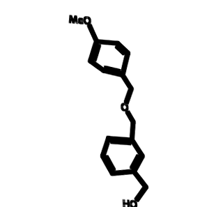 COc1ccc(COCc2cccc(CO)c2)cc1